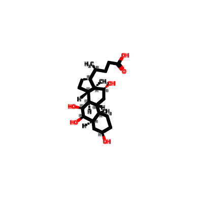 C[C@H](CCC(=O)O)[C@H]1CC[C@H]2[C@@H]3[C@H](O)[C@H](O)[C@@H]4C[C@H](O)CC[C@]4(C)[C@H]3C[C@@H](O)[C@]12C